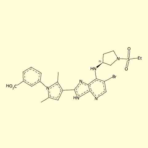 CCS(=O)(=O)N1CC[C@H](Nc2c(Br)cnc3[nH]c(-c4cc(C)n(-c5cccc(C(=O)O)c5)c4C)nc23)C1